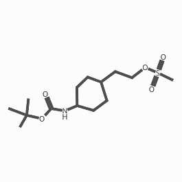 CC(C)(C)OC(=O)NC1CCC(CCOS(C)(=O)=O)CC1